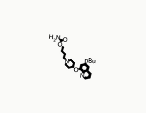 CCCCc1cc(OC2CCN(CCCCOC(N)=O)CC2)c2ncccc2c1